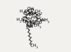 CCCCCCCCCCNCCC(=O)N[C@@H](CN)C(=O)N[C@H](C(=O)N[C@@H](C)C(=O)N[C@@H](CC(N)=O)C(=O)N[C@@H](C)B(O)O)[C@@H](C)O